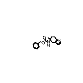 CC1(NC(=O)OCc2ccccc2)CCc2sccc2C1